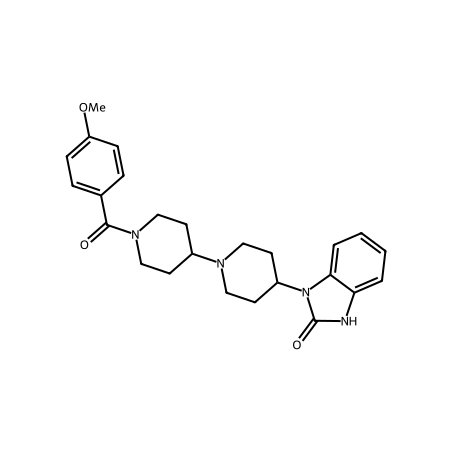 COc1ccc(C(=O)N2CCC(N3CCC(n4c(=O)[nH]c5ccccc54)CC3)CC2)cc1